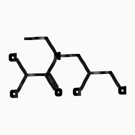 CCN(CC(Cl)CCl)C(=O)C(Cl)Cl